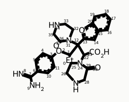 CCC(Oc1ccc(C(=N)N)cc1)C(c1cc2ccccc2o1)(C(C(=O)O)N1CCNCC1=O)N1CCNCC1=O